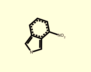 O=[N+]([O-])c1cccc2c1=C[N]C=2